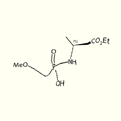 CCOC(=O)[C@H](C)NP(=O)(O)COC